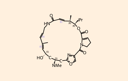 CN[C@@H]1Cc2nc(co2)C(=O)N2CCC=C2C(=O)O[C@H](C(C)C)[C@H](C)/C=C/C(=O)NC/C=C/C(C)=C/[C@@H](O)C1